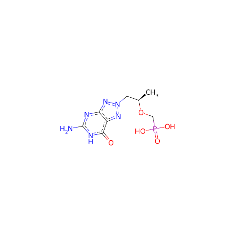 C[C@H](Cn1nc2nc(N)[nH]c(=O)c2n1)OCP(=O)(O)O